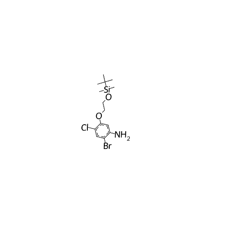 CC(C)(C)[Si](C)(C)OCCOc1cc(N)c(Br)cc1Cl